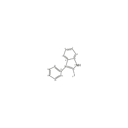 Ic1[nH]c2ccccc2c1-c1ccccc1